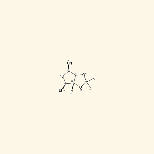 CC[C@H]1O[C@@H](C#N)C2OC(C)(C)O[C@@H]21